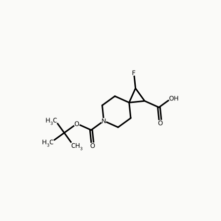 CC(C)(C)OC(=O)N1CCC2(CC1)C(F)C2C(=O)O